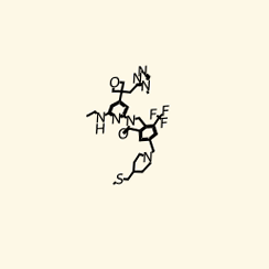 CCNc1cc(C2(Cc3nncn3C)COC2)cc(N2Cc3c(cc(CN4CCC(CSC)CC4)cc3C(F)(F)F)C2=O)n1